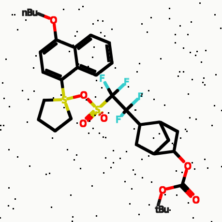 CCCCOc1ccc(S2(OS(=O)(=O)C(F)(F)C(F)(F)C3CC4CC3CC4OC(=O)OC(C)(C)C)CCCC2)c2ccccc12